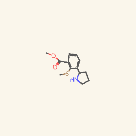 COC(=O)c1cccc(C2CCCN2)c1SC